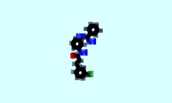 N=C(Nc1cccc(NC(=O)/C=C/c2cccc(Cl)c2)c1)c1ccccc1